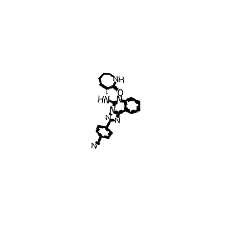 N#Cc1ccc(-c2nc3c4ccccc4nc(N[C@@H]4CCCCNC4=O)n3n2)cc1